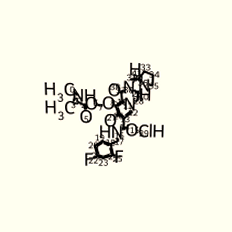 CN[C@@H](C)C(=O)OCOc1c2n(cc(C(=O)NCc3ccc(F)cc3F)c1=O)C[C@@H]1N(C[C@H]3CCCN31)C2=O.Cl